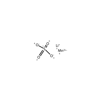 O=S(=O)([O-])[O-].[Li+].[Mn+2]